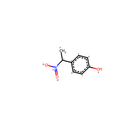 CC(c1ccc(O)cc1)[N+](=O)[O-]